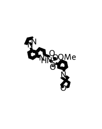 COc1ccc(N2CC3(CCOC3)C2)cc1S(=O)(=O)NC(=O)c1ccc2c(-n3cccn3)cccc2n1